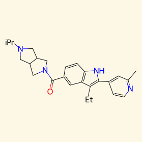 CCc1c(-c2ccnc(C)c2)[nH]c2ccc(C(=O)N3CC4CN(C(C)C)CC4C3)cc12